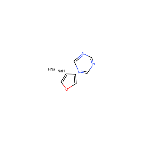 [NaH].[NaH].c1ccoc1.c1ncncn1